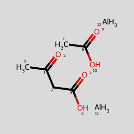 CC(=O)CC(=O)O.CC(=O)O.[AlH3].[AlH3]